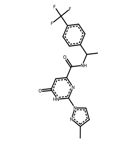 Cc1ccn(-c2nc(C(=O)NC(C)c3ccc(C(F)(F)F)cc3)cc(=O)[nH]2)n1